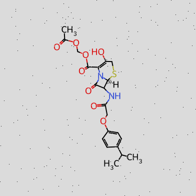 CC(=O)OCOC(=O)C1=C(O)CS[C@H]2C(NC(=O)COc3ccc(C(C)C)cc3)C(=O)N12